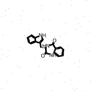 O=C1N[C@@H](Cc2c[nH]c3ccccc23)C(=O)Nc2ccccc21